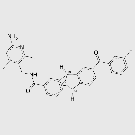 Cc1cc(N)nc(C)c1CNC(=O)c1ccc2c(c1)[C@@H]1O[C@H]2c2ccc(C(=O)c3cccc(F)c3)cc21